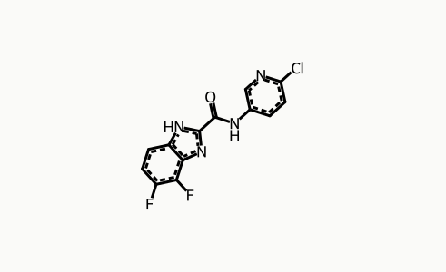 O=C(Nc1ccc(Cl)nc1)c1nc2c(F)c(F)ccc2[nH]1